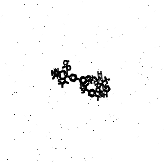 COC(=O)C[C@@H]1N=C(c2ccc(-c3ccc4nn(CC(=O)NC(C(=O)N5CCC[C@H]5C(=O)N[C@@H](C)c5ccc(-c6scnc6C)cc5)C(C)(C)C)cc4c3)cc2)c2c(sc(C)c2C)-n2c(C)nnc21